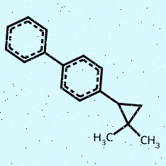 CC1(C)CC1c1ccc(-c2ccccc2)cc1